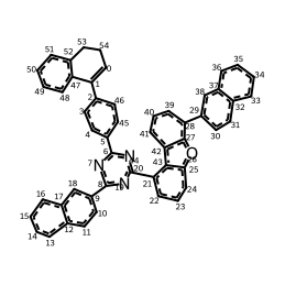 C1=C(c2ccc(-c3nc(-c4ccc5ccccc5c4)nc(-c4cccc5oc6c(-c7ccc8ccccc8c7)cccc6c45)n3)cc2)c2ccccc2CC1